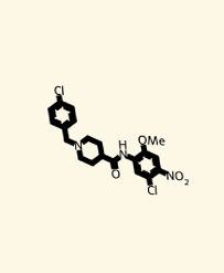 COc1cc([N+](=O)[O-])c(Cl)cc1NC(=O)C1CCN(Cc2ccc(Cl)cc2)CC1